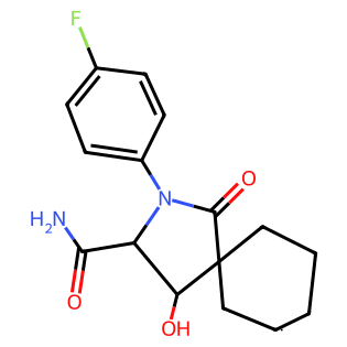 NC(=O)C1C(O)C2(C[CH]CCC2)C(=O)N1c1ccc(F)cc1